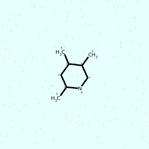 CC1CC(C)C(C)C[N]1